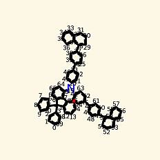 c1ccc(C2(c3ccccc3)c3ccccc3-c3c(N(c4ccc(-c5ccc(-c6cccc7ccccc67)cc5)cc4)c4ccc(-c5ccc(-c6cccc7ccccc67)cc5)cc4)cccc32)cc1